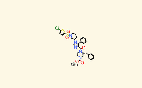 CC(C)(C)OC(=O)N1CCN(C(=O)c2ncn(C3CCCN(S(=O)(=O)c4ccc(Cl)s4)C3)c2-c2ccccc2)[C@H](Cc2ccccc2)C1